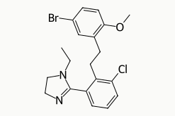 CCN1CCN=C1c1cccc(Cl)c1CCc1cc(Br)ccc1OC